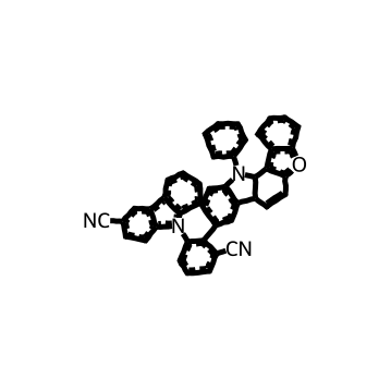 N#Cc1ccc2c(c1)c1ccccc1n2-c1cccc(C#N)c1-c1ccc2c(c1)C1C=Cc3oc4ccccc4c3C1N2c1ccccc1